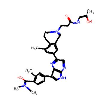 Cc1cc(-c2c[nH]c3ncc(-c4cc(C)c5c(c4)CN(CCC(=O)NC[C@H](C)O)CC5)nc23)ccc1C(O)N(C)C